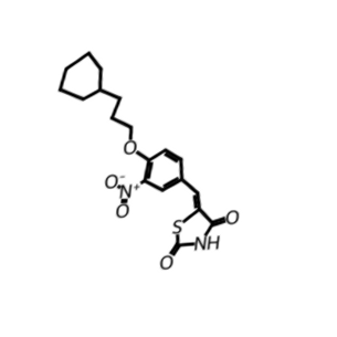 O=C1NC(=O)C(=Cc2ccc(OCCCC3CCCCC3)c([N+](=O)[O-])c2)S1